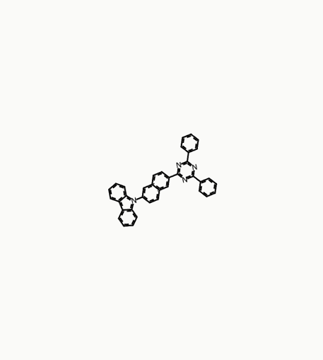 c1ccc(-c2nc(-c3ccccc3)nc(-c3ccc4cc(-n5c6ccccc6c6ccccc65)ccc4c3)n2)cc1